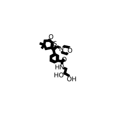 CC1(C)CC(=O)c2sc(N3CCOCC3)c(-c3cccc(C(=O)NCC(O)CO)c3)c2C1